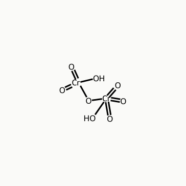 [O]=[Cr](=[O])([OH])[O][Cr](=[O])(=[O])(=[O])[OH]